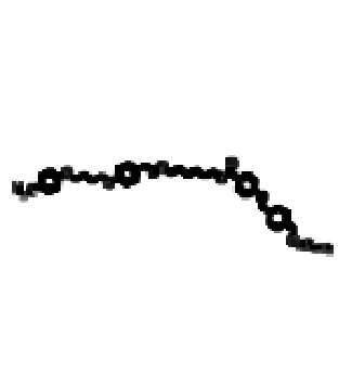 CCCCCOCC1CCC(COc2ccc(C(=O)OCCCCCCOOCc3ccc(OCCCCOc4ccc(C)cc4)cc3)cc2)CC1